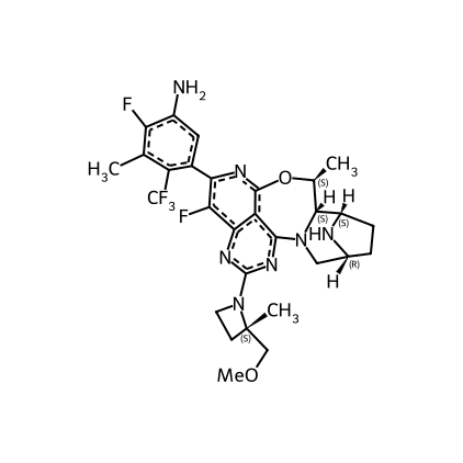 COC[C@]1(C)CCN1c1nc2c3c(nc(-c4cc(N)c(F)c(C)c4C(F)(F)F)c(F)c3n1)O[C@@H](C)[C@@H]1[C@@H]3CC[C@H](CN21)N3